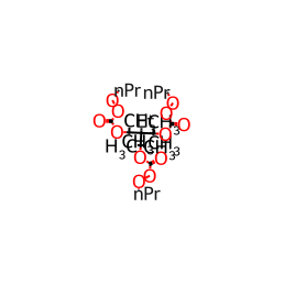 CCCOOC(=O)OC(C)(C)C(CC)(C(C)(C)OC(=O)OOCCC)C(C)(C)OC(=O)OOCCC